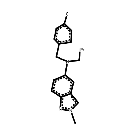 CC(C)CN(Cc1ccc(Cl)cc1)c1ccc2nn(C)cc2c1